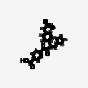 O=C(O)c1ccc(NC(=O)C(CC2CCCC2)c2ccc(C[SH](=O)=O)cc2)nc1